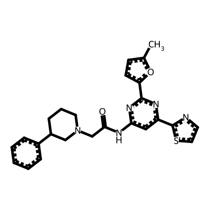 Cc1ccc(-c2nc(NC(=O)CN3CCCC(c4ccccc4)C3)cc(-c3nccs3)n2)o1